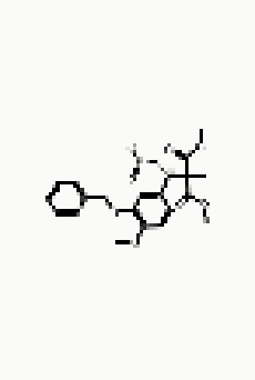 COC(=O)C(C)(C(=O)OC)[C@@H](C[N+](=O)[O-])c1ccc(OC)c(OCc2ccccc2)c1